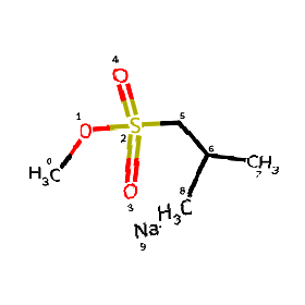 COS(=O)(=O)CC(C)C.[Na]